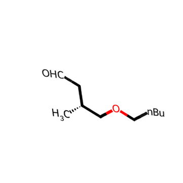 CCCCCOC[C@H](C)CC=O